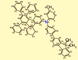 Cc1cccc(N(c2ccc(-c3ccc4c(c3)C(C)(C)c3ccccc3-4)cc2)c2ccc3c(c2)c2c(c4c(-c5ccccc5)cc(-c5ccccc5)c(-c5ccccc5)c43)C=CCC2)c1